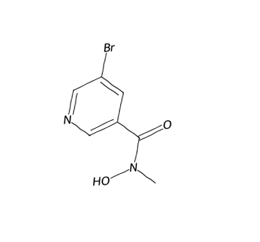 CN(O)C(=O)c1cncc(Br)c1